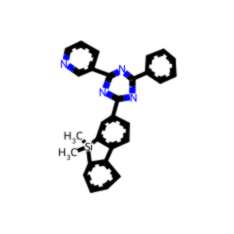 C[Si]1(C)c2ccccc2-c2ccc(-c3nc(-c4ccccc4)nc(-c4cccnc4)n3)cc21